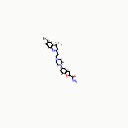 C=C(CCCCN1CCN(c2ccc3oc(C(N)=O)cc3c2)CC1)c1cc(C#N)ccc1N